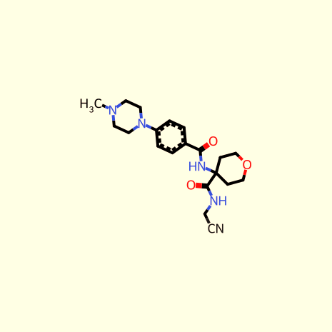 CN1CCN(c2ccc(C(=O)NC3(C(=O)NCC#N)CCOCC3)cc2)CC1